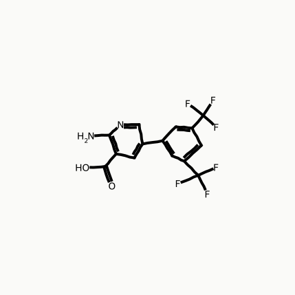 Nc1ncc(-c2cc(C(F)(F)F)cc(C(F)(F)F)c2)cc1C(=O)O